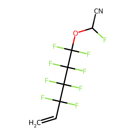 C=CC(F)(F)C(F)(F)C(F)(F)C(F)(F)OC(F)C#N